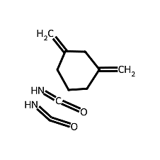 C=C1CCCC(=C)C1.N=C=O.N=C=O